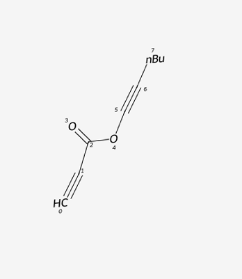 C#CC(=O)OC#CCCCC